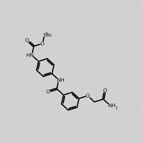 CC(C)(C)OC(=O)Nc1ccc(NC(=O)c2cccc(OCC(N)=O)c2)cc1